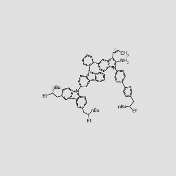 C/C=C\c1c(N)n(-c2ccc(-c3ccc(CC(CC)CCCC)cc3)cc2)c2ccc(-c3ccccc3-n3c4ccccc4c4cc(-n5c6ccc(CC(CC)CCCC)cc6c6cc(CC(CC)CCCC)ccc65)ccc43)cc12